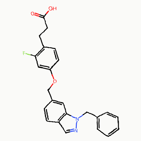 O=C(O)CCc1ccc(OCc2ccc3cnn(Cc4ccccc4)c3c2)cc1F